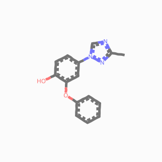 Cc1ncn(-c2ccc(O)c(Oc3ccccc3)c2)n1